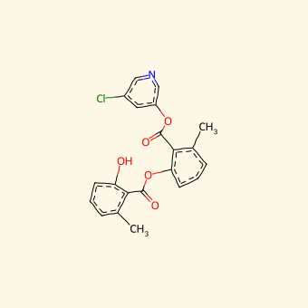 Cc1cccc(O)c1C(=O)Oc1cccc(C)c1C(=O)Oc1cncc(Cl)c1